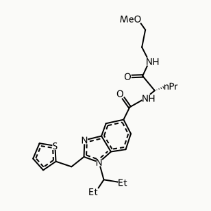 CCC[C@H](NC(=O)c1ccc2c(c1)nc(Cc1cccs1)n2C(CC)CC)C(=O)NCCOC